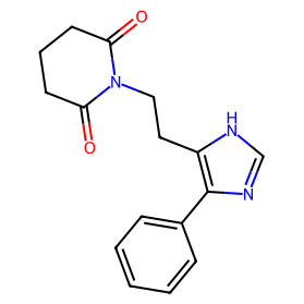 O=C1CCCC(=O)N1CCc1[nH]cnc1-c1ccccc1